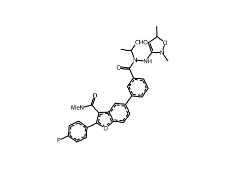 CNC(=O)c1c(-c2ccc(F)cc2)oc2ccc(-c3cccc(C(=O)N(NC4=CC(C)ON4C)C(C)C=O)c3)cc12